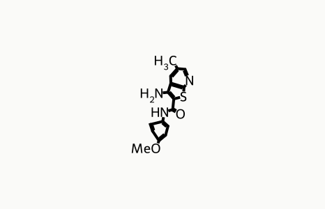 COc1ccc(NC(=O)c2sc3ncc(C)cc3c2N)cc1